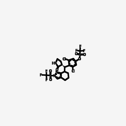 O=C1NCC[C@@H]1C(c1c(Cl)cc(OS(=O)(=O)C(F)(F)F)cc1Cl)C1CCCc2cn(S(=O)(=O)C(F)(F)F)nc21